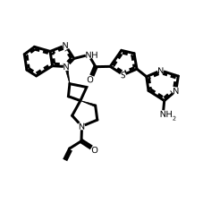 C=CC(=O)N1CC[C@]2(C1)C[C@H](n1c(NC(=O)c3ccc(-c4cc(N)ncn4)s3)nc3ccccc31)C2